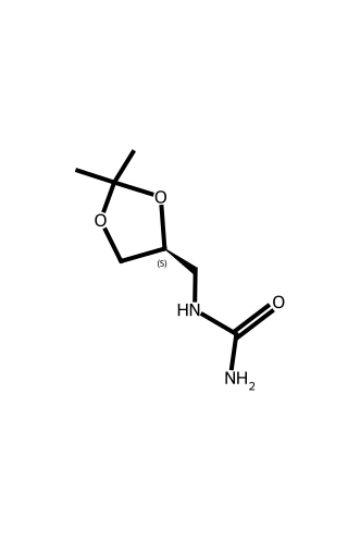 CC1(C)OC[C@H](CNC(N)=O)O1